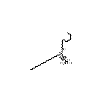 CC/C=C\C/C=C\C/C=C\C/C=C\CCCCC(=O)OC[C@H](COP(=O)(O)OC[C@H](N)C(=O)O)OC(=O)CCCCCCCCCCCCCCCCCCCCC